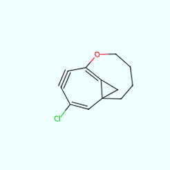 ClC1=CC23CCCCOC(=C2C3)C#C1